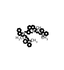 CN1/C(=C/C=C/C2=[N+](Cc3ccc(C[N+]4=C(/C=C/C=C5/N(C)c6ccccc6C56CCCCC6)C(C)(C)c5ccc6ccccc6c54)cc3)c3c(ccc4ccccc34)C2(C)C)C2(CCCCC2)c2ccccc21